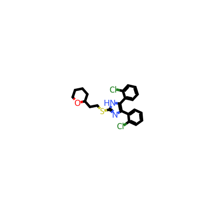 Clc1ccccc1-c1nc(SCCC2CCCCO2)[nH]c1-c1ccccc1Cl